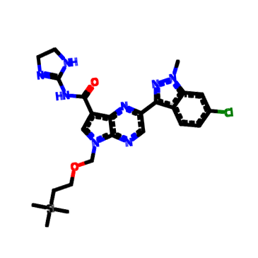 Cn1nc(-c2cnc3c(n2)c(C(=O)NC2=NCCN2)cn3COCC[Si](C)(C)C)c2ccc(Cl)cc21